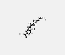 NCCNCCNC(=O)c1cc2cc(C(N)=O)ccc2[nH]1